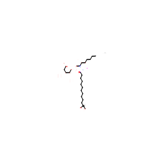 CCCCCCCCCCCCCC[C@@H](O)[C@@H](O)C(CO[C@H]1O[C@H](CO)[C@H](O)[C@H](O)[C@H]1O)NC(=O)CCCCCCCCCCC1(C)COC1